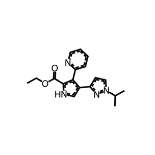 CCOC(=O)c1[nH]cc(-c2ccn(C(C)C)n2)c1-c1ccccn1